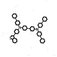 c1ccc(-c2ccc(N(c3ccc(-c4ccccc4)cc3)c3ccc(-c4ccc(N(c5ccc(-c6ccccc6)cc5)c5ccc(-c6csc7ccccc67)cc5)cc4)cc3)cc2)cc1